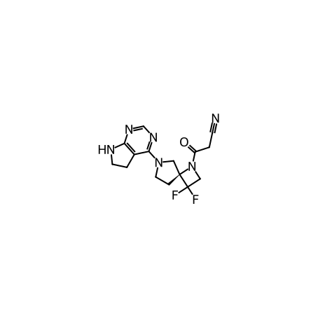 N#CCC(=O)N1CC(F)(F)[C@@]12CCN(c1ncnc3c1CCN3)C2